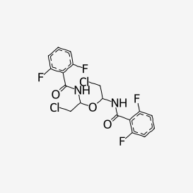 O=C(NC(CCl)OC(CCl)NC(=O)c1c(F)cccc1F)c1c(F)cccc1F